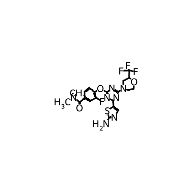 CN(C)C(=O)c1ccc(Oc2nc(-c3cnc(N)s3)nc(N3CCOC(C(F)(F)F)C3)n2)c(F)c1